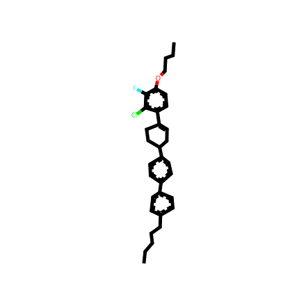 CCCCCc1ccc(-c2ccc(C3CC=C(c4ccc(OCCCC)c(F)c4Cl)CC3)cc2)cc1